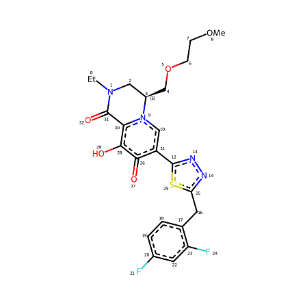 CCN1C[C@@H](COCCOC)n2cc(-c3nnc(Cc4ccc(F)cc4F)s3)c(=O)c(O)c2C1=O